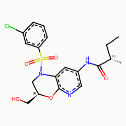 CC[C@H](C)C(=O)Nc1cnc2c(c1)N(S(=O)(=O)c1cccc(Cl)c1)C[C@H](CO)O2